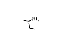 CCP(C)P